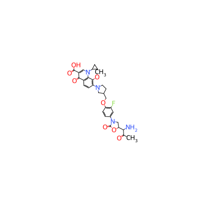 COc1c(N2CCC(COc3ccc(N4CC(C(N)C(C)=O)OC4=O)cc3F)C2)ccc2c(=O)c(C(=O)O)cn(C3CC3)c12